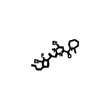 C=C/C=C\c1ccc(C(=C)/C=C2/N=C(C(=O)N3CCCCCC3C)C=C(CC)N2C)c(F)c1CC